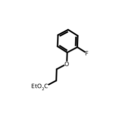 CCOC(=O)CCOc1ccccc1F